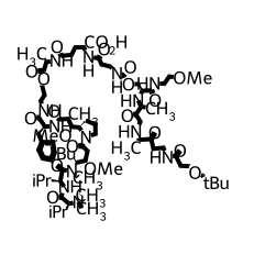 CC[C@H](C)[C@@H]([C@@H](CC(=O)N1CCC[C@H]1[C@H](OC)[C@@H](C)C(=O)N[C@@H](Cc1ccccc1)C(=O)NCCCOC(=O)[C@H](C)NC(=O)CC[C@H](NC(=O)CCNC(=O)OC[C@H](NC(C)C(=O)CNC(C)C(=O)CCNC(=O)CCOCC(C)(C)C)C(=O)NCCOC)C(=O)O)OC)N(C)C(=O)[C@@H](NC(=O)[C@H](C(C)C)N(C)C)C(C)C